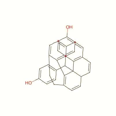 Oc1ccc(C(c2ccc(O)cc2)C23C4=C5C=CC2C=Cc2ccc6ccc(c4c6c23)CC5)cc1